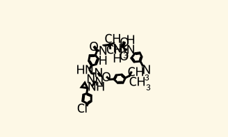 CC(C)c1ccc(COc2nc(Nc3ccc(C(=O)NCC(C)(C)CNC(=O)C(=O)Nc4ccc(C#N)cc4)cc3)nc(NC3(c4ccc(Cl)cc4)CC3)n2)cc1